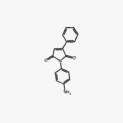 Nc1ccc(N2C(=O)C=C(c3ccccc3)C2=O)cc1